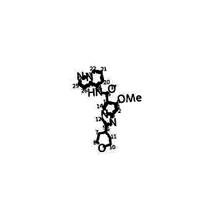 COc1cc2nc(C3CCOCC3)cn2cc1C(=O)Nc1cccn2nccc12